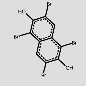 Oc1c(Br)cc2c(Br)c(O)c(Br)cc2c1Br